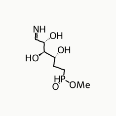 CO[PH](=O)CC[C@@H](O)[C@@H](O)[C@@H](O)C=N